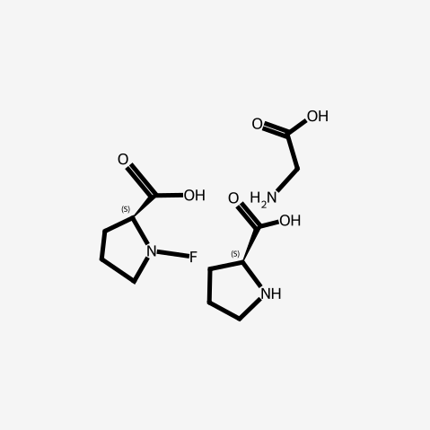 NCC(=O)O.O=C(O)[C@@H]1CCCN1.O=C(O)[C@@H]1CCCN1F